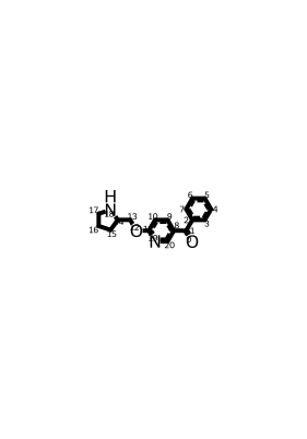 O=C(c1ccccc1)c1ccc(OCC2CCCN2)nc1